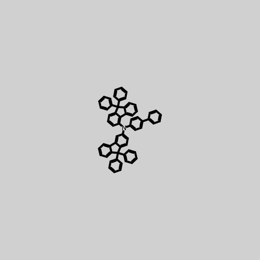 c1ccc(-c2ccc(N(c3ccc4c(c3)-c3ccccc3C4(c3ccccc3)c3ccccc3)c3cccc4c3-c3ccccc3C4(c3ccccc3)c3ccccc3)cc2)cc1